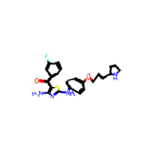 Nc1nc(Nc2ccc(OCCCC3CCCN3)cc2)sc1C(=O)c1cccc(F)c1